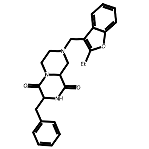 CCc1oc2ccccc2c1CN1CCN2C(=O)C(Cc3ccccc3)NC(=O)C2C1